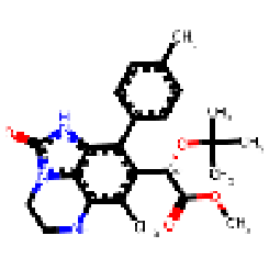 COC(=O)[C@@H](OC(C)(C)C)c1c(C)c2c3c([nH]c(=O)n3CCN2)c1-c1ccc(C)cc1